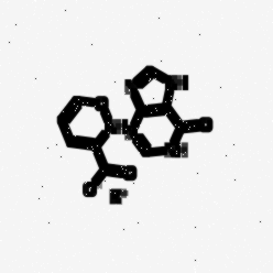 O=C([O-])C1=CC=CON1.O=c1[nH]cnc2nc[nH]c12.[K+]